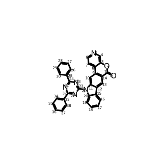 O=c1oc2cnccc2c2cc3c(cc12)c1ccccc1n3-c1nc(-c2ccccc2)nc(-c2ccccc2)n1